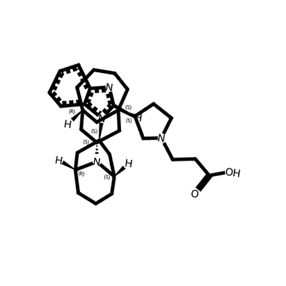 O=C(O)CCN1CC[C@H](c2nc3ccccc3n2[C@@H]2C[C@H]3CCC[C@@H](C2)N3[C@@H]2C[C@@H]3CCCC[C@@H](C3)C2)C1